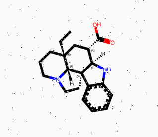 CC[C@@]12CCCN3CC[C@]4(c5ccccc5N[C@@H]4[C@@H](C(=O)O)C1)[C@H]32